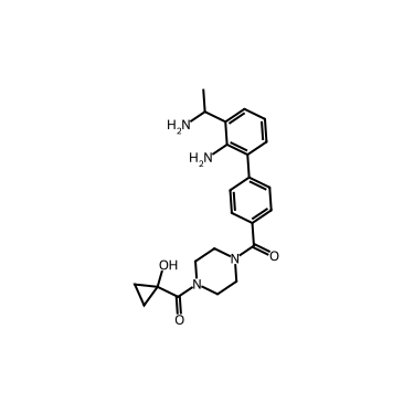 CC(N)c1cccc(-c2ccc(C(=O)N3CCN(C(=O)C4(O)CC4)CC3)cc2)c1N